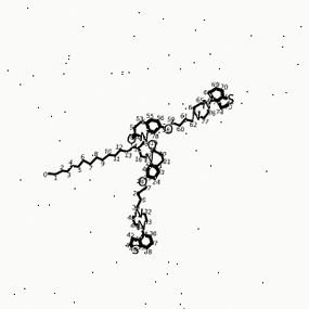 CCCCCCCCCCCCCCCC(CN1C(=O)CCc2ccc(OCCCCN3CCN(c4cccc5sccc45)CC3)cc21)CN1C(=O)CCc2ccc(OCCCCN3CCN(c4cccc5sccc45)CC3)cc21